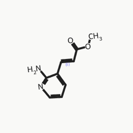 COC(=O)/C=C/c1cccnc1N